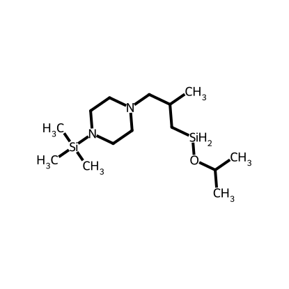 CC(C[SiH2]OC(C)C)CN1CCN([Si](C)(C)C)CC1